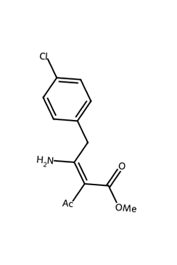 COC(=O)C(C(C)=O)=C(N)Cc1ccc(Cl)cc1